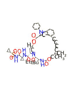 CC[C@@H]1C[C@]1(NC(=O)[C@@H]1C[C@@H]2CN1C(=O)[C@H](C(C)(C)C)NC(=O)OCC(C)(C)CCCCc1cccc3c1cc(n3-c1ccccc1)C(=O)O2)C(=O)NS(=O)(=O)C1CC1